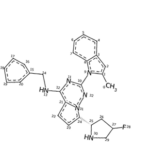 Cc1cc2ccccc2n1-c1nc(NCc2ccccc2)c2ccc([C@@H]3CC(F)CN3)n2n1